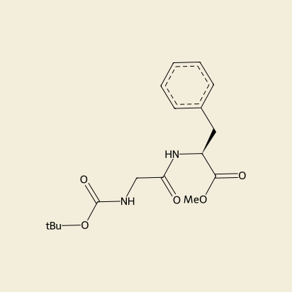 COC(=O)[C@H](Cc1ccccc1)NC(=O)CNC(=O)OC(C)(C)C